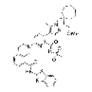 COCCC1(Cn2ncc(-c3ccc(N4CCc5cccc(C(=O)Nc6nc7ccccc7s6)c5C4)nc3C(=O)NS(C)(=O)=O)c2C)CCCCCC1